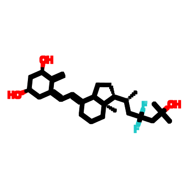 C=C1/C(=C\C=C2CCC[C@@]3(C)C2CC[C@@H]3[C@H](C)CC(F)(F)CC(C)(C)O)C[C@@H](O)C[C@H]1O